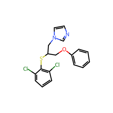 Clc1cccc(Cl)c1SC(COc1ccccc1)Cn1ccnc1